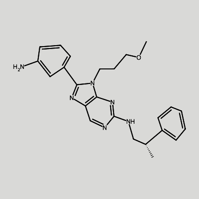 COCCCn1c(-c2cccc(N)c2)nc2cnc(NC[C@@H](C)c3ccccc3)nc21